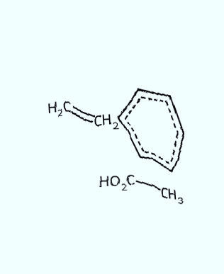 C=C.CC(=O)O.c1ccccc1